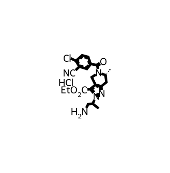 CCOC(=O)c1c2c(nn1C(C)CN)C[C@@H](C)N(C(=O)c1ccc(Cl)c(C#N)c1)C2.Cl